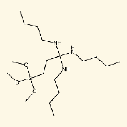 CCCCNC(CC[Si](OC)(OC)OC)(NCCCC)NCCCC